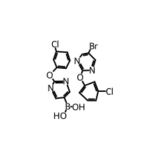 Clc1cccc(Oc2ncc(Br)cn2)c1.OB(O)c1cnc(Oc2cccc(Cl)c2)nc1